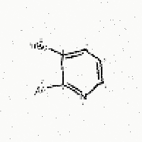 CCCCc1cccnc1C(C)=O